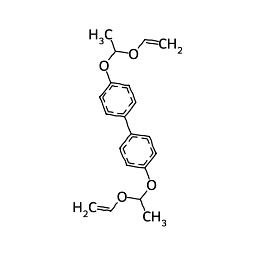 C=COC(C)Oc1ccc(-c2ccc(OC(C)OC=C)cc2)cc1